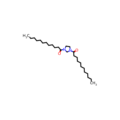 CCCCCCCCCCCC(=O)N1CCN(C(=O)CCCCCCCCCCC)C1